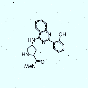 CNC(=O)C1C[C@H](Nc2nc(-c3ccccc3O)nc3ccccc23)CN1